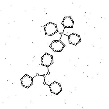 c1ccc(OB(Oc2ccccc2)Oc2ccccc2)cc1.c1ccc([PH](c2ccccc2)(c2ccccc2)c2ccccc2)cc1